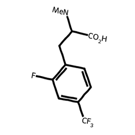 CNC(Cc1ccc(C(F)(F)F)cc1F)C(=O)O